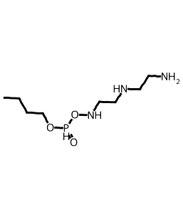 CCCCO[PH](=O)ONCCNCCN